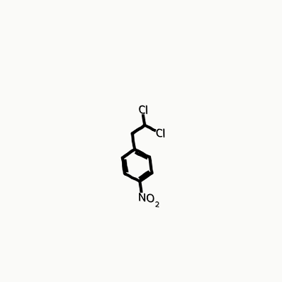 O=[N+]([O-])c1ccc(CC(Cl)Cl)cc1